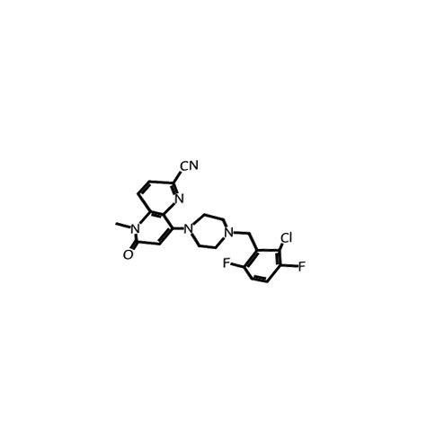 Cn1c(=O)cc(N2CCN(Cc3c(F)ccc(F)c3Cl)CC2)c2nc(C#N)ccc21